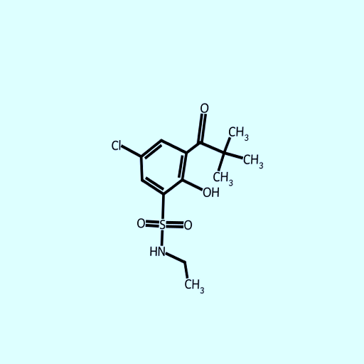 CCNS(=O)(=O)c1cc(Cl)cc(C(=O)C(C)(C)C)c1O